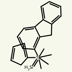 [CH3][Ti]([CH3])([CH3])([CH3])(=[SiH2])([C]1=CC=CC1)[c]1cccc2c1Cc1ccccc1-2